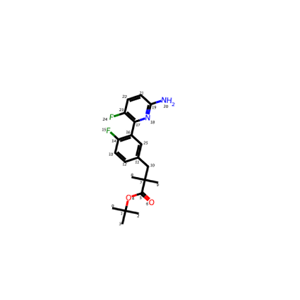 CC(C)(C)OC(=O)C(C)(C)Cc1ccc(F)c(-c2nc(N)ccc2F)c1